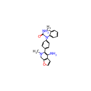 Cc1ccccc1N(C(N)=O)c1ccc(C2=C(N)c3ccoc3CN2C)cc1